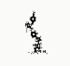 COC(=O)C(CC(C)C)NC(=O)c1ccc(-c2ccc(NCc3cncn3Cc3ccc(C#N)cc3)cc2)o1